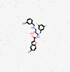 CCc1cccc(CNC[C@@H](O)[C@H](Cc2cc(F)cc(F)c2)NC(=O)c2cc3cc(Cl)ccc3o2)c1